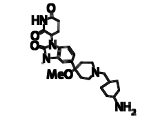 COC1(c2ccc3c(c2)n(C)c(=O)n3C2CCC(=O)NC2=O)CCN(CC2CCC(N)CC2)CC1